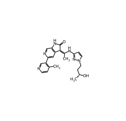 C/C(Nc1ccn(CC[C@H](C)O)n1)=C1/C(=O)Nc2cnc(-c3cnccc3C)cc21